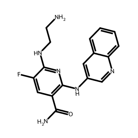 NCCNc1nc(Nc2cnc3ccccc3c2)c(C(N)=O)cc1F